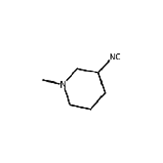 [C-]#[N+]C1CCCN(C)C1